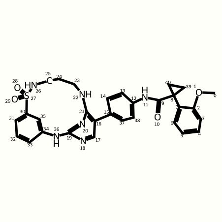 COc1ccccc1C1(C(=O)Nc2ccc(-c3cnc4nc3NCCCNS(=O)(=O)c3cccc(c3)N4)cc2)CC1